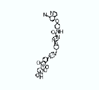 N#Cc1ccc(OC2CCC(NC(=O)c3cnc(N4CCC(CN5CCN(c6ccc7c(c6)C(=O)N(C6CCC(=O)NC6=O)C7=O)CC5)CC4)cn3)CC2)c2cccnc12